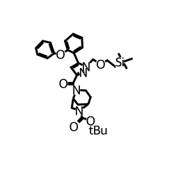 CC(C)(C)OC(=O)N1CC2CC1CCN2C(=O)c1cc(-c2ccccc2Oc2ccccc2)n(COCC[Si](C)(C)C)n1